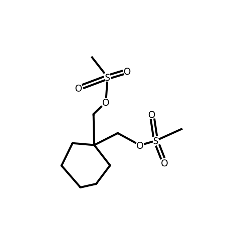 CS(=O)(=O)OCC1(COS(C)(=O)=O)CCCCC1